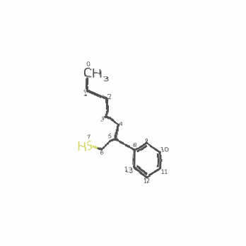 CCCCCC(CS)c1ccccc1